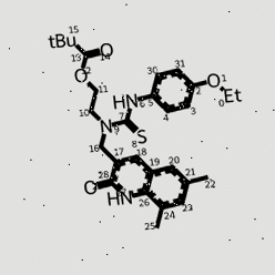 CCOc1ccc(NC(=S)N(CCOC(=O)C(C)(C)C)Cc2cc3cc(C)cc(C)c3[nH]c2=O)cc1